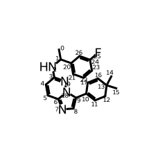 CC(Nc1ccc2ncc(C3=CCC(C)(C)C=C3)n2n1)c1cccc(F)c1